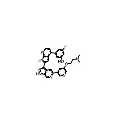 CN(C)CCOc1cncc(-c2cc3c(-c4cc5c(-c6cc(O)cc(F)c6)ccnc5[nH]4)n[nH]c3cn2)c1